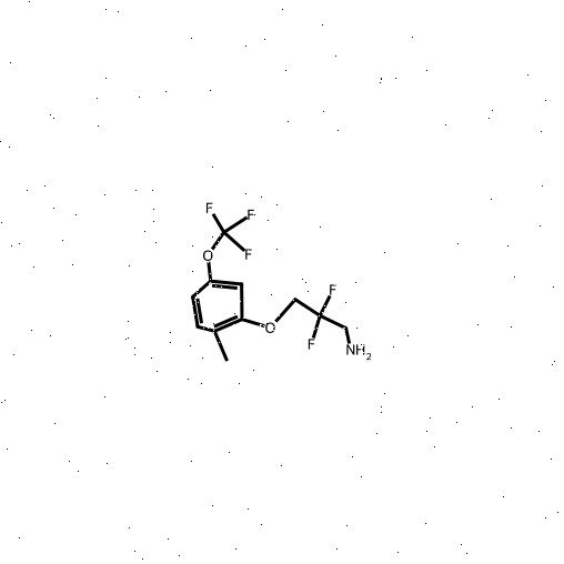 Cc1ccc(OC(F)(F)F)cc1OCC(F)(F)CN